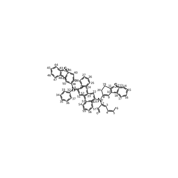 C=C/C(=C\C=C/C)N(C1=Cc2c(sc3ccccc23)CC1)c1cc2c3ccccc3c(N(c3ccccc3)c3ccc4sc5ccccc5c4c3)cc2c2ccccc12